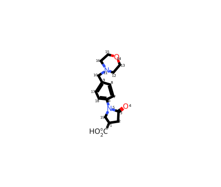 O=C(O)C1CC(=O)N(c2ccc(CN3CCOCC3)cc2)C1